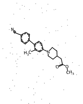 COC(=O)CC1CCN(c2ccc(-c3ccc(C#N)cc3)c(C)c2)CC1